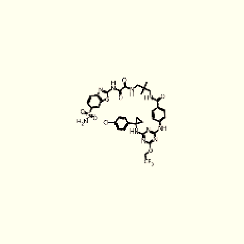 CC(C)(CNC(=O)C(=O)Nc1nc2ccc(S(N)(=O)=O)cc2s1)CNC(=O)c1ccc(Nc2nc(NC3(c4ccc(Cl)cc4)CC3)nc(OCC(F)(F)F)n2)cc1